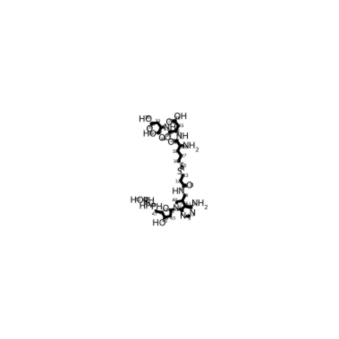 Nc1ncnc2c1C(CNC(=O)CCSSCCCC(N)C(=O)NC(CC(=O)O)C(=O)NC(CC(=O)O)C(=O)O)CN2C1CC(O)C(CPPPO)O1